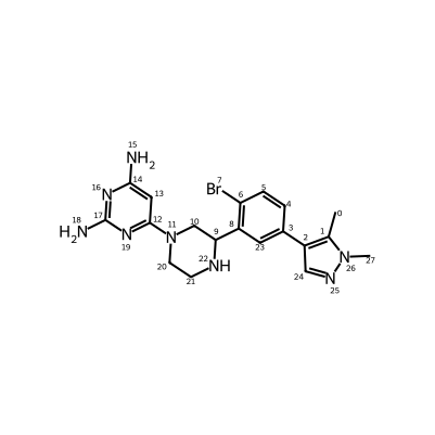 Cc1c(-c2ccc(Br)c(C3CN(c4cc(N)nc(N)n4)CCN3)c2)cnn1C